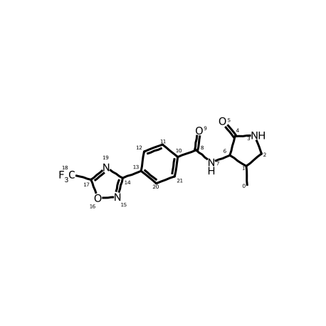 CC1CNC(=O)C1NC(=O)c1ccc(-c2noc(C(F)(F)F)n2)cc1